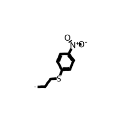 [CH2]CCSc1ccc([N+](=O)[O-])cc1